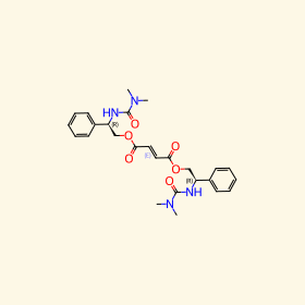 CN(C)C(=O)N[C@@H](COC(=O)/C=C/C(=O)OC[C@H](NC(=O)N(C)C)c1ccccc1)c1ccccc1